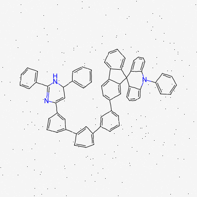 C1=C(c2cccc(-c3cccc(-c4cccc(-c5ccc6c(c5)C5(c7ccccc7-6)c6ccccc6N(c6ccccc6)c6ccccc65)c4)c3)c2)N=C(c2ccccc2)NC1c1ccccc1